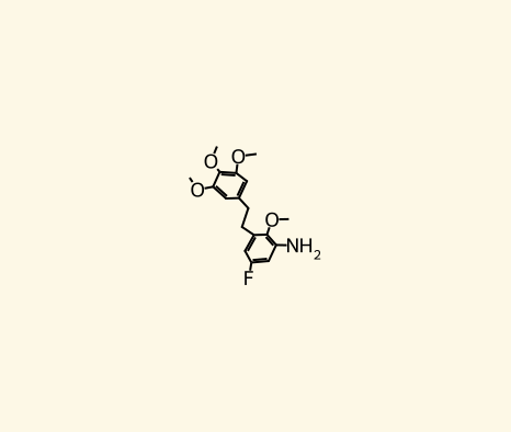 COc1cc(CCc2cc(F)cc(N)c2OC)cc(OC)c1OC